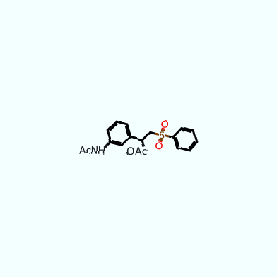 CC(=O)Nc1cccc(C(CS(=O)(=O)c2ccccc2)OC(C)=O)c1